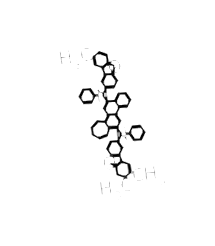 CC1=Cc2c(oc3ccc(N(c4ccccc4)c4cc5c(cc(N(c6ccccc6)c6ccc7oc8ccc(C)cc8c7c6)c6ccccc65)c5c4C=CCC=C5)cc23)CC1C